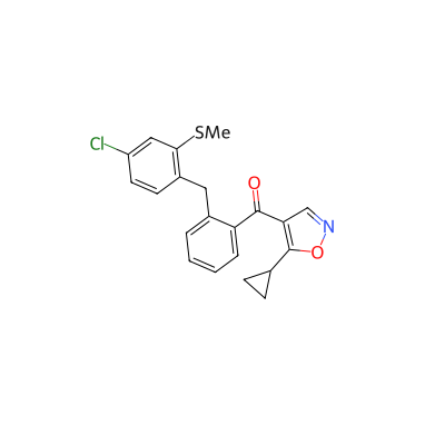 CSc1cc(Cl)ccc1Cc1ccccc1C(=O)c1cnoc1C1CC1